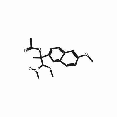 COc1ccc2cc(C(C)(OC(C)=O)C(SC)[S+](C)[O-])ccc2c1